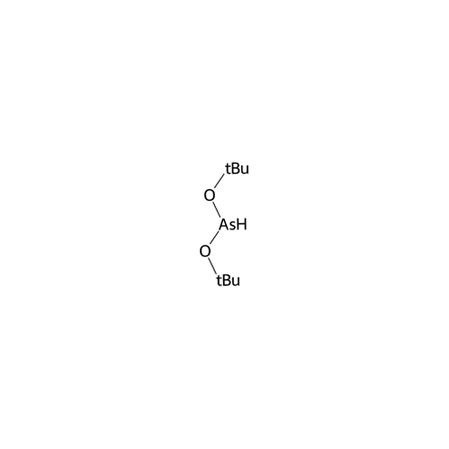 CC(C)(C)O[AsH]OC(C)(C)C